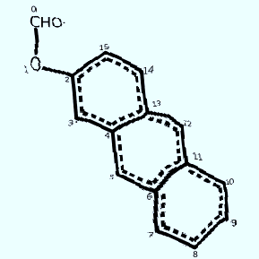 O=[C]Oc1[c]c2cc3ccccc3cc2cc1